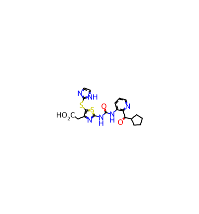 O=C(O)Cc1nc(NC(=O)Nc2cccnc2C(=O)C2CCCC2)sc1Sc1ncc[nH]1